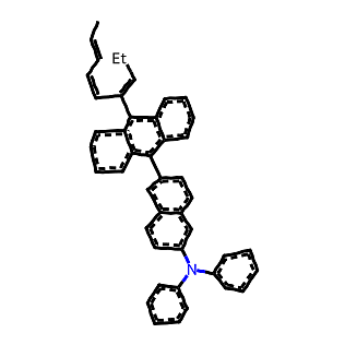 C/C=C/C=C\C(=C/CC)c1c2ccccc2c(-c2ccc3cc(N(c4ccccc4)c4ccccc4)ccc3c2)c2ccccc12